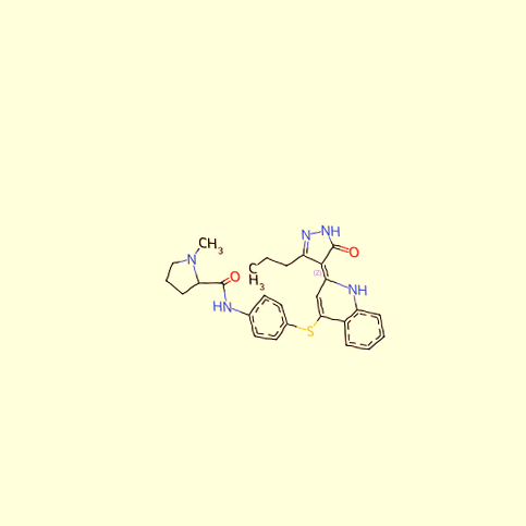 CCCC1=NNC(=O)/C1=C1/C=C(Sc2ccc(NC(=O)C3CCCN3C)cc2)c2ccccc2N1